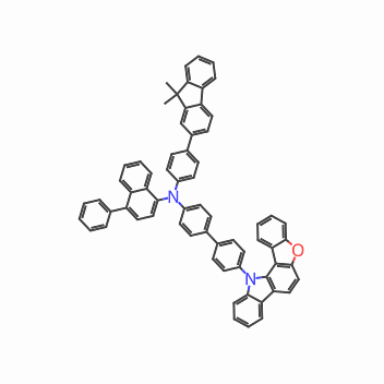 CC1(C)c2ccccc2-c2ccc(-c3ccc(N(c4ccc(-c5ccc(-n6c7ccccc7c7ccc8oc9ccccc9c8c76)cc5)cc4)c4ccc(-c5ccccc5)c5ccccc45)cc3)cc21